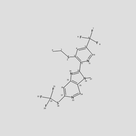 CCSc1cc(C(F)(F)F)cnc1-c1nc2cc(SC(F)(F)F)ncc2n1C